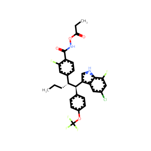 CCC[C@H](c1ccc(C(=O)NOC(=O)CC)c(F)c1)[C@H](c1ccc(OC(F)(F)F)cc1)c1c[nH]c2c(F)cc(Cl)cc12